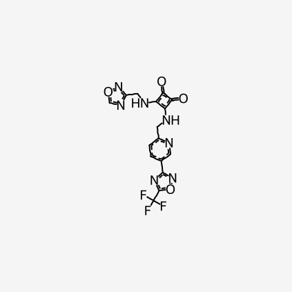 O=c1c(NCc2ccc(-c3noc(C(F)(F)F)n3)cn2)c(NCc2ncon2)c1=O